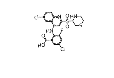 O=C(O)c1cc(Cl)cc(F)c1Nc1cc(S(=O)(=O)C2CSCCN2)nc2ccc(Cl)cc12